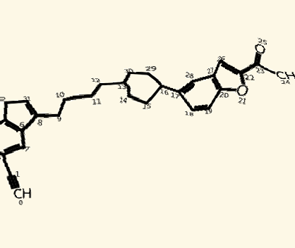 C#Cc1ccc2c(c1)C(CCCCC1CCC(c3ccc4oc(C(C)=O)cc4c3)CC1)=CC2